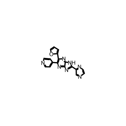 c1coc(-c2nc3[nH]c(-c4cnccn4)nc3nc2-c2ccncc2)c1